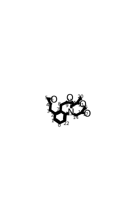 c1cc(CC2CO2)c(CC2CO2)c(N(CC2CO2)CC2CO2)c1